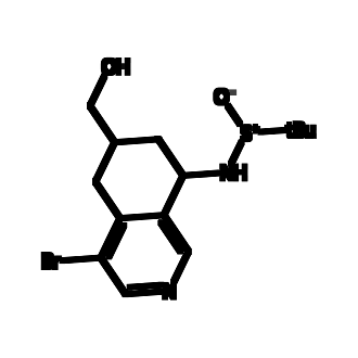 CC(C)(C)[S+]([O-])NC1CC(CO)Cc2c(Br)cncc21